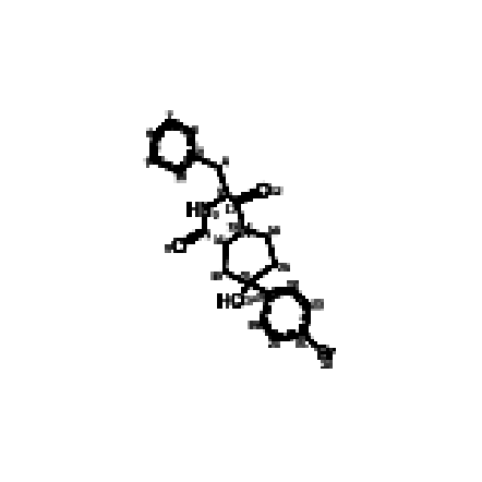 O=CNC(Cc1ccccc1)C(=O)N1CCC(O)(c2ccc(Br)cc2)CC1